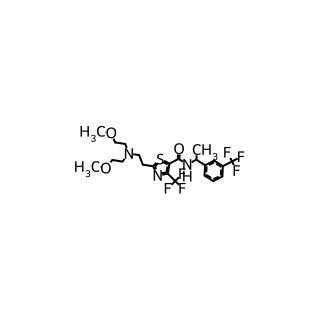 COCCN(CCOC)CCc1nc(C(F)(F)F)c(C(=O)NC(C)c2cccc(C(F)(F)F)c2)s1